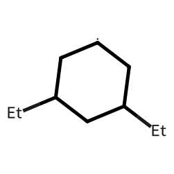 CCC1C[CH]CC(CC)C1